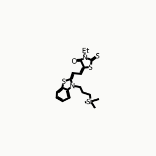 CCN1C(=O)C(=CC=C2Sc3ccccc3N2CCC[Si](C)(C)C)SC1=S